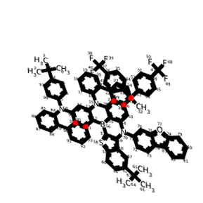 CC(C)(C)c1ccc(N(c2ccc3c(c2)N(c2ccccc2-c2ccccc2)c2cc(S(C)(c4ccc(C(F)(F)F)cc4)c4ccc(C(F)(F)F)cc4)cc4c2B3c2sc3ccc(C(C)(C)C)cc3c2N4c2ccc3c(c2)oc2ccccc23)c2ccccc2-c2ccccc2)cc1